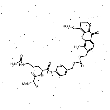 CN[C@H](C(=O)N[C@@H](CCCNC(N)=O)C(=O)Nc1ccc(COC(=O)OCc2ccc3c(=O)c4cccc(CC(=O)O)c4oc3c2C)cc1)C(C)C